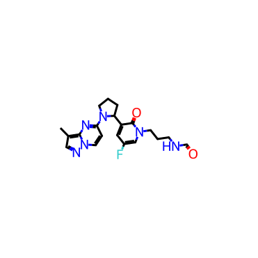 Cc1cnn2ccc(N3CCCC3c3cc(F)cn(CCCNC=O)c3=O)nc12